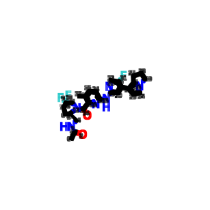 CC(=O)NC[C@H]1CCC(F)(F)CN1C(=O)c1nc(Nc2cc(-c3ccn4c3CCC4)c(F)cn2)ccc1C